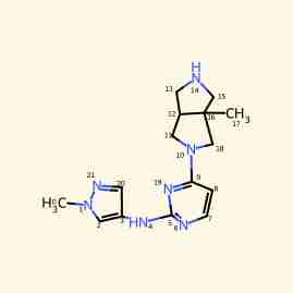 Cn1cc(Nc2nccc(N3CC4CNCC4(C)C3)n2)cn1